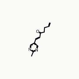 C=CCCC(=O)C=Cc1cnc(C)nc1